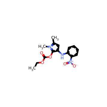 CCOC(=O)Oc1c(Nc2ccccc2[N+](=O)[O-])cc(C)n1C